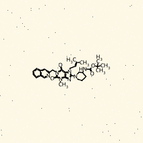 CC(C)=CCn1c(N2CCCC(NC(=O)OC(C)(C)C)C2)nc2c1c(=O)n(Cc1cc3ccccc3cn1)c(=O)n2C